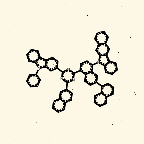 c1ccc(-n2c3ccccc3c3ccc(-c4nc(-c5ccc6ccccc6c5)nc(-c5ccc(-n6c7ccccc7c7cc8ccccc8cc76)c6cc(-c7cccc8ccccc78)ccc56)n4)cc32)cc1